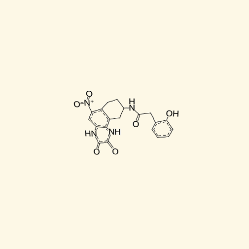 O=C(Cc1ccccc1O)NC1CCc2c([N+](=O)[O-])cc3[nH]c(=O)c(=O)[nH]c3c2C1